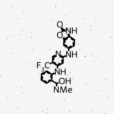 CNC(O)c1ccccc1Nc1cc(Nc2ccc3[nH]c(=O)oc3c2)ncc1C(F)(F)F